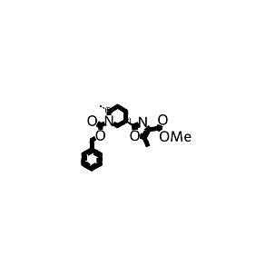 COC(=O)c1nc([C@@H]2CC[C@@H](C)N(C(=O)OCc3ccccc3)C2)oc1C